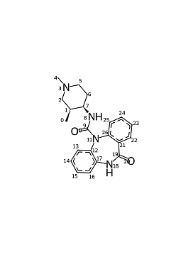 C[C@H]1CN(C)CC[C@H]1NC(=O)N1c2ccccc2NC(=O)c2ccccc21